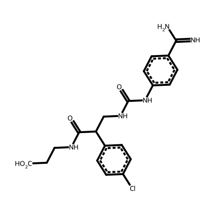 N=C(N)c1ccc(NC(=O)NCC(C(=O)NCCC(=O)O)c2ccc(Cl)cc2)cc1